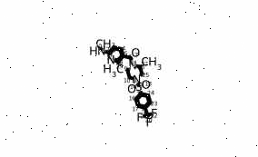 CNc1ccc(C(=O)N2CCN(S(=O)(=O)c3ccc(C(F)(F)F)cc3)C[C@@H]2C)c(C)n1